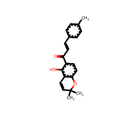 Cc1ccc(/C=C/C(=O)c2ccc3c(c2O)C=CC(C)(C)O3)cc1